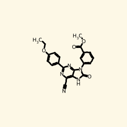 CCOc1ccc(-c2nc(C#N)c3[nH]c(=O)n(-c4cccc(C(=O)OC)c4)c3n2)cc1